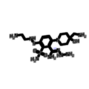 NCCNSc1ccc(N2CCC(O)(CN)CC2)c(/C(N)=N/NN)c1S(N)(=O)=O